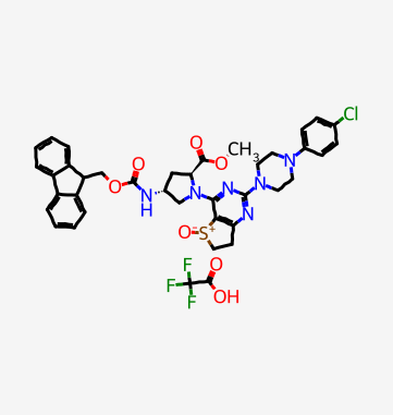 COC(=O)[C@@H]1C[C@@H](NC(=O)OCC2c3ccccc3-c3ccccc32)CN1c1nc(N2CCN(c3ccc(Cl)cc3)CC2)nc2c1[S+]([O-])CC2.O=C(O)C(F)(F)F